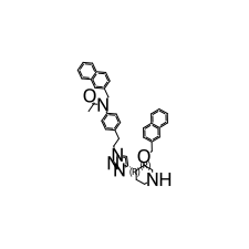 CC(=O)N(Cc1ccc2ccccc2c1)c1ccc(CCn2cc([C@H]3CCNC[C@@H]3OCc3ccc4ccccc4c3)nn2)cc1